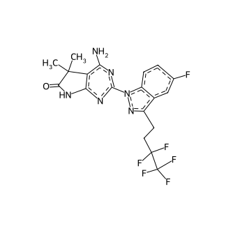 CC1(C)C(=O)Nc2nc(-n3nc(CCC(F)(F)C(F)(F)F)c4cc(F)ccc43)nc(N)c21